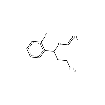 C=COC(CCC)c1ccccc1Cl